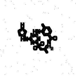 Cc1ccc(C(N)=O)cc1Nc1nc(NC2CCNC2)nc(S(=O)(=O)CC(C)C)n1